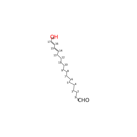 O=CCCCCCCCCCCCCCC=CC=CO